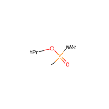 CCCOP(C)(=O)NC